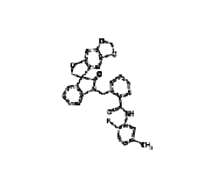 Cc1ccc(F)c(NC(=O)c2ccccc2CN2C(=O)C3(COc4cc5c(cc43)OCO5)c3ccccc32)c1